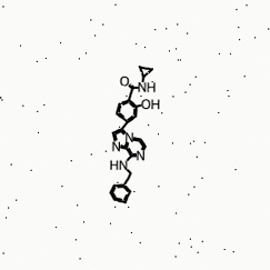 O=C(NC1CC1)c1ccc(-c2cnc3c(NCc4ccccc4)nccn23)cc1O